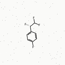 F[C](F)[C@@H](F)c1ccc(F)cc1